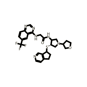 O=C(CNc1ncnc2ccc(C(F)(F)F)cc12)NC1CN(C2CCOC2)C[C@@H]1SC1CCc2ccncc21